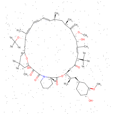 [2H]C([2H])([2H])O[C@H]1C[C@@H]2CC([2H])([2H])[C@@H](C)[C@@](O)(O2)C(=O)C(=O)N2CCCC[C@H]2C(=O)O[C@H]([C@H](C)C[C@@H]2CC[C@@H](O)[C@H](OC)C2)CC(=O)[C@H](C([2H])([2H])[2H])/C=C(\C)[C@@H](O)[C@@H](OC)C(=C)[C@H](C)C[C@H](C)/C=C/C=C/C=C/1C